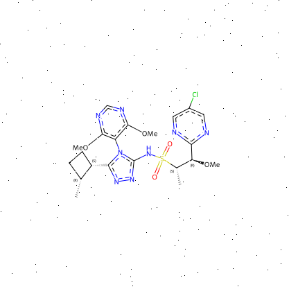 COc1ncnc(OC)c1-n1c(NS(=O)(=O)[C@@H](C)[C@H](OC)c2ncc(Cl)cn2)nnc1[C@H]1CC[C@H]1C